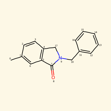 Cc1ccc2c(c1)C(=O)N(Cc1ccccc1)C2